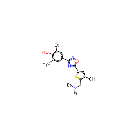 CCc1cc(-c2noc(-c3cc(C)c(CN(CC)CC)s3)n2)cc(C)c1O